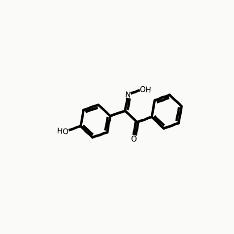 O=C(C(=NO)c1ccc(O)cc1)c1ccccc1